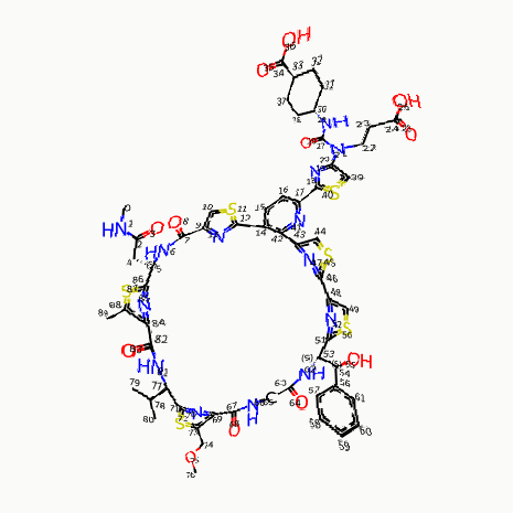 CNC(=O)C[C@@H]1NC(=O)c2csc(n2)-c2ccc(-c3nc(N(CCC(=O)O)C(=O)N[C@H]4CC[C@H](C(=O)O)CC4)cs3)nc2-c2csc(n2)-c2csc(n2)[C@H]([C@@H](O)c2ccccc2)NC(=O)CNC(=O)c2nc(sc2COC)C(C(C)C)NC(=O)c2nc1sc2C